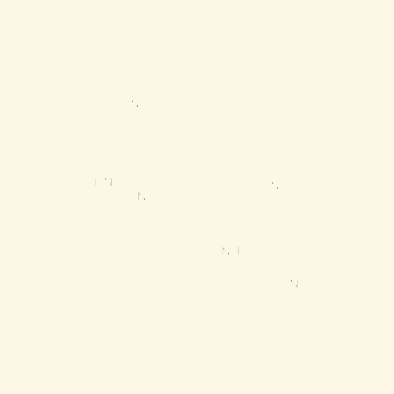 N#Cc1cnc2ccc(-c3n[nH]c4ccncc34)cc2c1NCCc1ccccc1